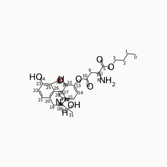 CCCCOC(=O)[C@@H](N)CC(=O)OC1=CC[C@@]2(O)[C@H]3Cc4ccc(O)c5c4[C@@]2(CCN3C)[C@H]1O5